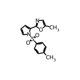 Cc1ccc(S(=O)(=O)n2cccc2-c2ncc(C)o2)cc1